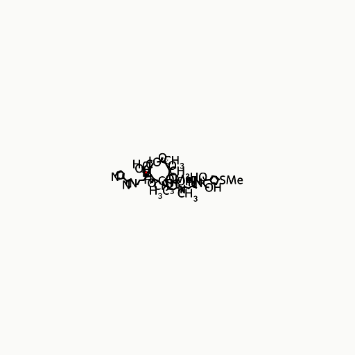 CO[C@]1(C)C[C@@H](C)C(=O)[C@@H]2C(CCCn3cnc(-c4cccnc4)c3)N3C(=O)O[C@](C)([C@@H](I)OC(=O)[C@H](C)C(=O)[C@H](C)[C@H]1O[C@@H]1O[C@H](C)C[C@H](N(C)CCc4cn(C(CO)[C@@H](O)c5ccc(SC)cc5)nn4)[C@H]1O)[C@@H]23